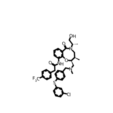 C[C@@H]1CN([C@@H](C)CO)C(=O)c2cccc(NC(=O)Cc3ccc(C(F)(F)F)cc3)c2O[C@@H]1CN(C)Cc1ccc(Sc2cccc(Cl)c2)cc1